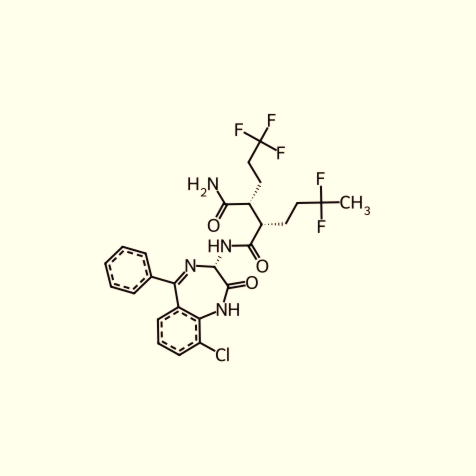 CC(F)(F)CC[C@H](C(=O)N[C@H]1N=C(c2ccccc2)c2cccc(Cl)c2NC1=O)[C@@H](CCC(F)(F)F)C(N)=O